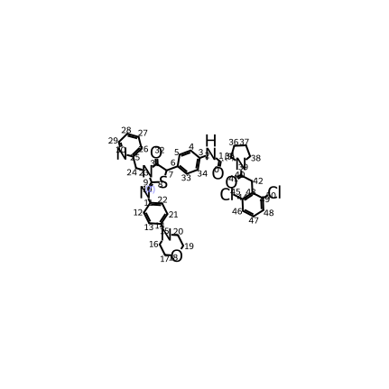 O=C(Nc1ccc(C2S/C(=N\c3ccc(N4CCOCC4)cc3)N(Cc3ccccn3)C2=O)cc1)[C@@H]1CCCN1C(=O)Cc1c(Cl)cccc1Cl